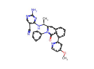 COc1ccnc(-c2cccc3cc([C@H](C)Nc4nc(N)ncc4C#N)n(-c4ccccc4)c(=O)c23)c1